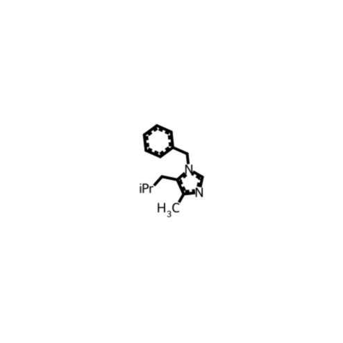 Cc1ncn(Cc2ccccc2)c1CC(C)C